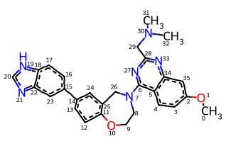 COc1ccc2c(N3CCOc4ccc(-c5ccc6[nH]cnc6c5)cc4C3)nc(CN(C)C)nc2c1